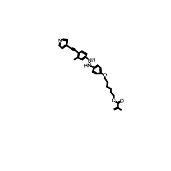 C=C(C)C(=O)OCCCCCCOc1ccc(NNc2ccc(C#Cc3ccncc3)c(C)c2)cc1